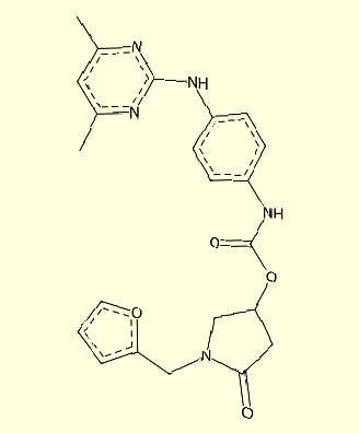 Cc1cc(C)nc(Nc2ccc(NC(=O)OC3CC(=O)N(Cc4ccco4)C3)cc2)n1